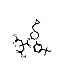 FC(F)(F)c1cccc(N2CCN(CC3CC3)CC2)c1.O=C(O)CC(O)(CC(=O)O)C(=O)O